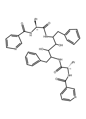 CC(C)[C@H](NC(=O)c1cccnc1)C(=O)NC(Cc1ccccc1)C(O)C(O)C(Cc1ccccc1)NC(=O)[C@@H](NC(=O)c1cccnc1)C(C)C